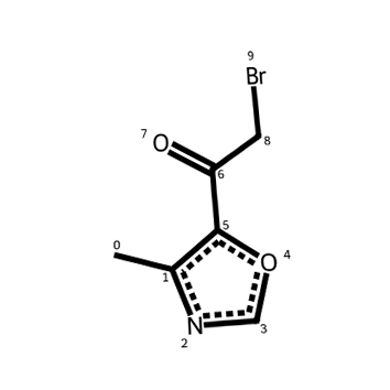 Cc1ncoc1C(=O)CBr